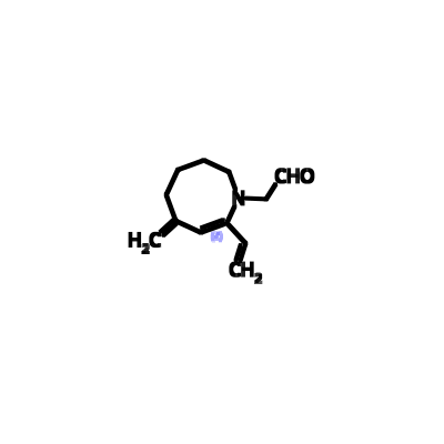 C=C/C1=C/C(=C)CCCCN1CC=O